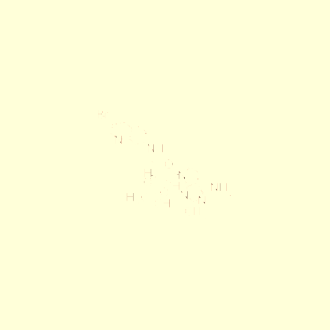 Cc1nc(N)c2ccn([C@@H]3O[C@H](CNc4ccc5cc(Br)cnc5c4)[C@H]4OC(C)(C)O[C@H]43)c2n1